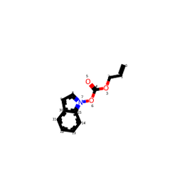 C=CCOC(=O)On1ccc2ccccc21